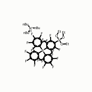 CCCC[NH+](CCCC)CCCC.CCO[Si](OCC)(OCC)c1c(F)c(F)c([B-](c2c(F)c(F)c(F)c(F)c2F)(c2c(F)c(F)c(F)c(F)c2F)c2c(F)c(F)c(F)c(F)c2F)c(F)c1F